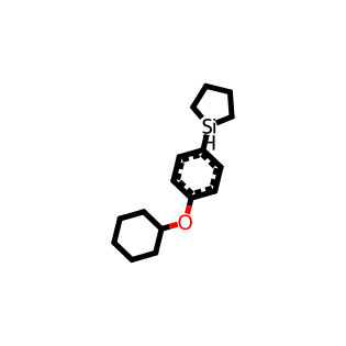 c1cc([SiH]2CCCC2)ccc1OC1CCCCC1